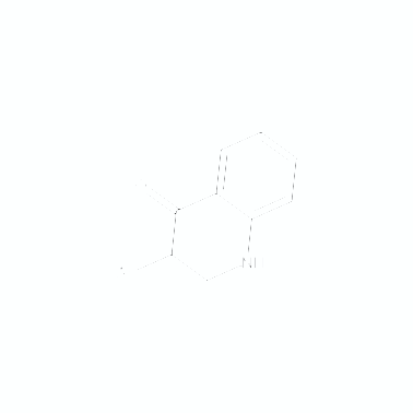 CC(=O)C1CNc2ccccc2C1=O